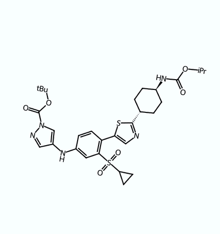 CC(C)OC(=O)N[C@H]1CC[C@H](c2ncc(-c3ccc(Nc4cnn(C(=O)OC(C)(C)C)c4)cc3S(=O)(=O)C3CC3)s2)CC1